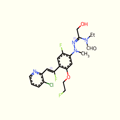 CCN(C=O)/C(CO)=N\N(C)c1cc(OCCF)c(/C(F)=C/c2ncccc2Cl)cc1F